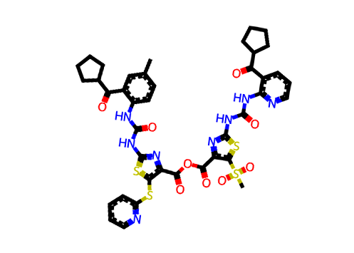 Cc1ccc(NC(=O)Nc2nc(C(=O)OC(=O)c3nc(NC(=O)Nc4ncccc4C(=O)C4CCCC4)sc3S(C)(=O)=O)c(Sc3ccccn3)s2)c(C(=O)C2CCCC2)c1